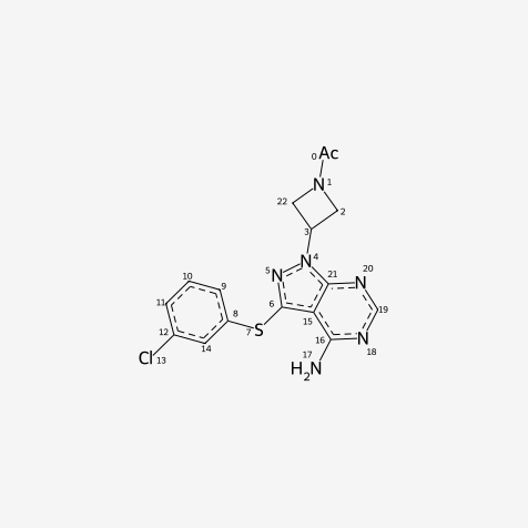 CC(=O)N1CC(n2nc(Sc3cccc(Cl)c3)c3c(N)ncnc32)C1